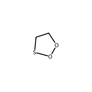 C1CSOO1